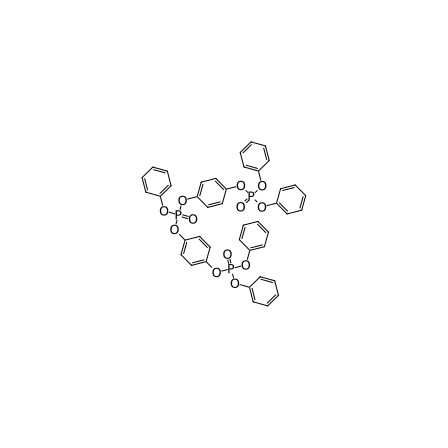 O=P(Oc1ccccc1)(Oc1ccccc1)Oc1ccc(OP(=O)(Oc2ccccc2)Oc2ccc(OP(=O)(Oc3ccccc3)Oc3ccccc3)cc2)cc1